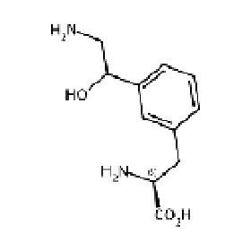 NCC(O)c1cccc(C[C@H](N)C(=O)O)c1